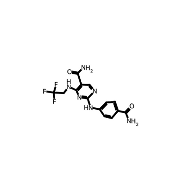 NC(=O)c1ccc(Nc2ncc(C(N)=O)c(NCC(F)(F)F)n2)cc1